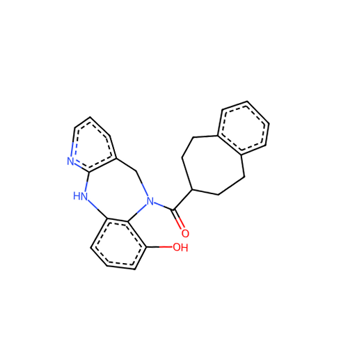 O=C(C1CCc2ccccc2CC1)N1Cc2cccnc2Nc2cccc(O)c21